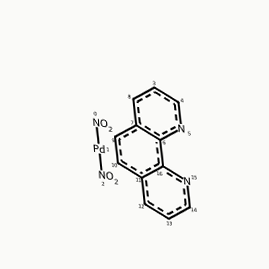 O=[N+]([O-])[Pd][N+](=O)[O-].c1cnc2c(c1)ccc1cccnc12